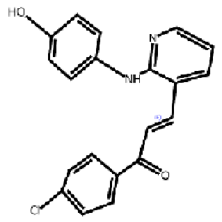 O=C(/C=C/c1cccnc1Nc1ccc(O)cc1)c1ccc(Cl)cc1